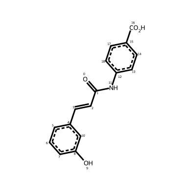 O=C(/C=C/c1cccc(O)c1)Nc1ccc(C(=O)O)cc1